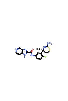 C[C@@]1(c2cc(NC(=O)c3nc4cnccc4[nH]3)ccc2F)CCSC(N)=N1